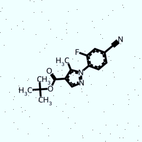 Cc1c(C(=O)OC(C)(C)C)cnn1-c1ccc(C#N)cc1F